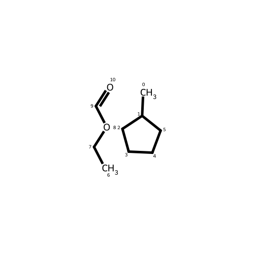 CC1CCCC1.CCOC=O